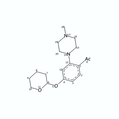 CC(=O)c1ccc(OC2CCCCO2)cc1N1CCN(C)CC1